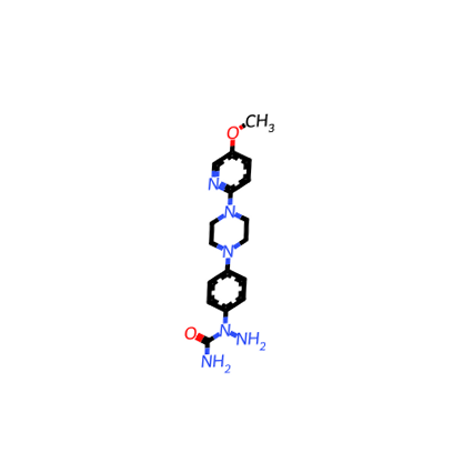 COc1ccc(N2CCN(c3ccc(N(N)C(N)=O)cc3)CC2)nc1